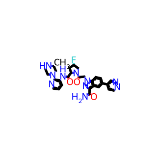 CC1CN(c2ncccc2NC(=O)C2CC(F)CN2C(=O)Cn2nc(C(N)=O)c3cc(-c4ccnnc4)ccc32)CCN1